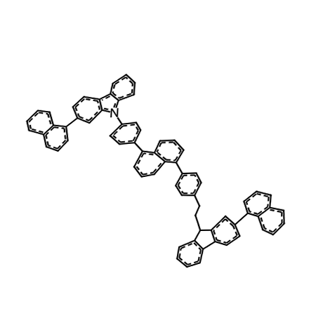 c1ccc2c(c1)-c1ccc(-c3cccc4ccccc34)cc1C2CCc1ccc(-c2cccc3c(-c4ccc(-n5c6ccccc6c6ccc(-c7cccc8ccccc78)cc65)cc4)cccc23)cc1